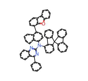 c1ccc(-c2nc(N(c3cccc4c3-c3ccccc3C43c4ccccc4-c4ccccc43)c3ccc(-c4cccc5c4oc4ccccc45)c4ccccc34)nc3ccccc23)cc1